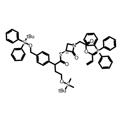 C=CC(OC(=O)CN1C[C@H](SC(=O)C(CCO[Si](C)(C)C(C)(C)C)c2ccc(CO[Si](c3ccccc3)(c3ccccc3)C(C)(C)C)cc2)C1=O)=P(c1ccccc1)(c1ccccc1)c1ccccc1